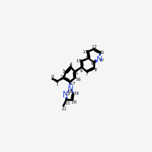 CCc1ccc(-c2ccc3ncccc3c2)cc1-n1ccc(C)n1